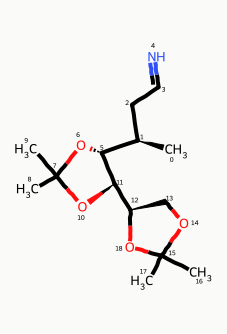 C[C@H](CC=N)[C@H]1OC(C)(C)O[C@@H]1[C@H]1COC(C)(C)O1